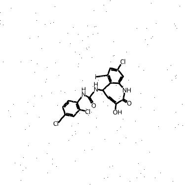 O=C(Nc1ccc(Cl)cc1Cl)NC1C=C(O)C(=O)Nc2cc(Cl)cc(I)c21